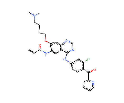 C=CC(=O)Nc1cc2c(Nc3ccc(C(=O)c4ccccn4)c(Cl)c3)ncnc2cc1OCCCCN(C)C